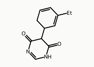 CCC1=CC(C2C(=O)N=CNC2=O)CC=C1